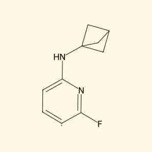 Fc1[c]ccc(NC23CC(C2)C3)n1